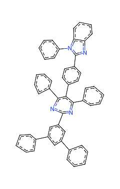 c1ccc(-c2cc(-c3ccccc3)cc(-c3nc(-c4ccccc4)c(-c4ccc(-c5nc6ccccc6n5-c5ccccc5)cc4)c(-c4ccccc4)n3)c2)cc1